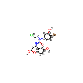 COC(=O)CC(NC(=O)N(CCCl)c1ccc(Br)c(OC)c1)c1cccc(OC)c1